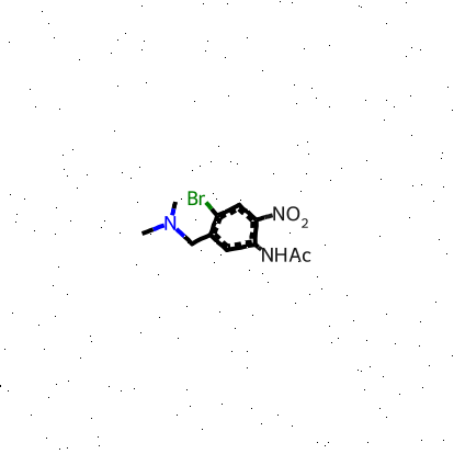 CC(=O)Nc1cc(CN(C)C)c(Br)cc1[N+](=O)[O-]